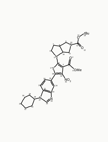 COC(=O)c1c(N2CCC3CN(C(=O)OC(C)(C)C)CC32)sc(-c2ccc3c(c2)ncn3C2CCCCC2)c1[N+](=O)[O-]